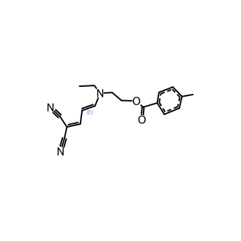 CCN(/C=C/C=C(C#N)C#N)CCOC(=O)c1ccc(C)cc1